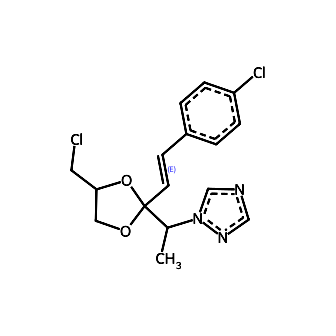 CC(n1cncn1)C1(/C=C/c2ccc(Cl)cc2)OCC(CCl)O1